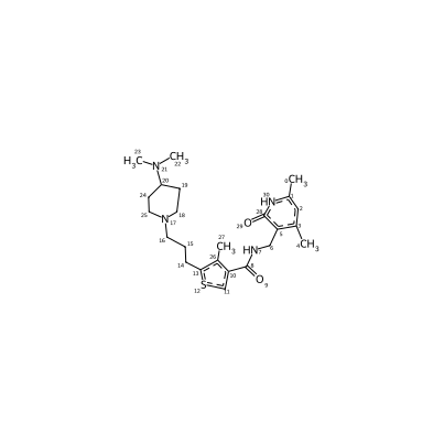 Cc1cc(C)c(CNC(=O)c2csc(CCCN3CCC(N(C)C)CC3)c2C)c(=O)[nH]1